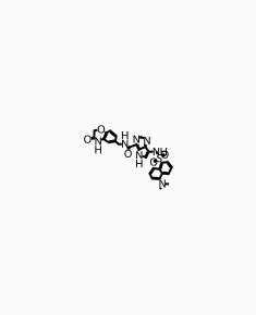 CN(C)c1cccc2c(S(=O)(=O)Nc3c[nH]c4c(C(=O)NCc5ccc6c(c5)NC(=O)CO6)ncnc34)cccc12